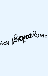 COCC(=O)N1CC2CN(c3ccc(N4CC(CNC(C)=O)OC4=O)cc3F)CC2C1